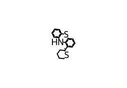 c1ccc2c(c1)Nc1c(cccc1[C]1CCCCS1)S2